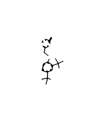 CC(C)(C)c1ccc(OCc2n[nH]c(=O)[nH]2)c(C(C)(C)C)c1